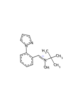 CC(C)(C)/[N+](O)=C/c1ccccc1-n1cccn1